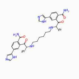 CC(C)C(NCCCCCCNC(C(=O)c1cc(-c2cnc[nH]2)ccc1C(N)=O)C(C)C)C(=O)c1cc(-c2cnc[nH]2)ccc1C(N)=O